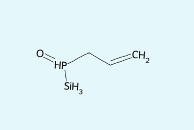 C=CC[PH](=O)[SiH3]